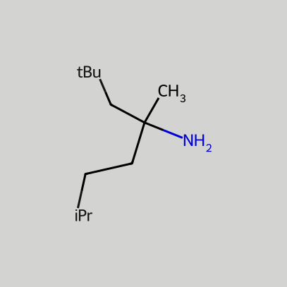 CC(C)CCC(C)(N)CC(C)(C)C